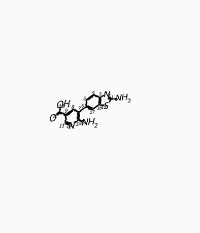 Nc1nc2ccc(-c3cc(C(=O)O)cnc3N)cc2s1